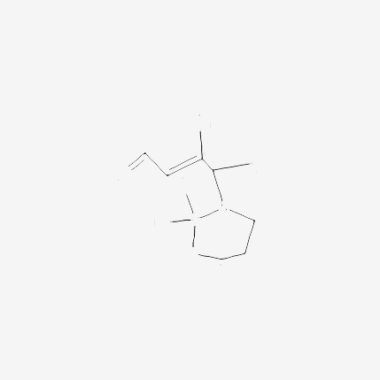 C=CC=C(C)C(C)N1CCCO[P]1(O)Cl